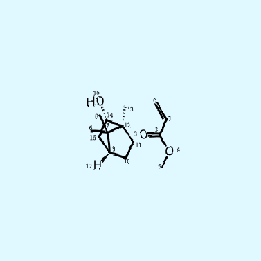 C=CC(=O)OC.CC1(C)[C@@H]2CC[C@]1(C)[C@@H](O)C2